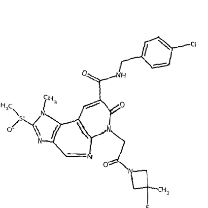 Cn1c([S+](C)[O-])nc2cnc3c(cc(C(=O)NCc4ccc(Cl)cc4)c(=O)n3CC(=O)N3CC(C)(F)C3)c21